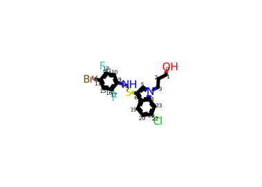 OCCCn1cc(SNc2cc(F)c(Br)cc2F)c2ccc(Cl)cc21